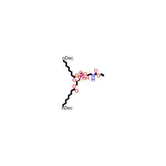 C=COC(=O)NCCOP(=O)(O)OC[C@@H](COC(=O)CCCCCCCCCCCCCCCCC)OC(=O)CCCCCCCCCCCCCCCCC